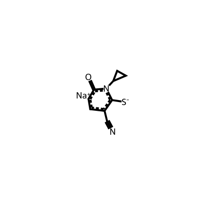 N#Cc1ccc(=O)n(C2CC2)c1[S-].[Na+]